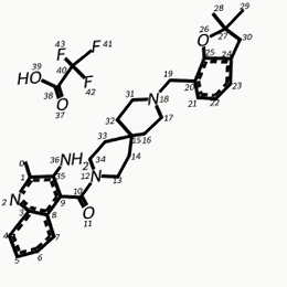 Cc1nc2ccccc2c(C(=O)N2CCC3(CCN(Cc4cccc5c4OC(C)(C)C5)CC3)CC2)c1N.O=C(O)C(F)(F)F